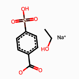 CCO.O=C([O-])c1ccc(S(=O)(=O)O)cc1.[Na+]